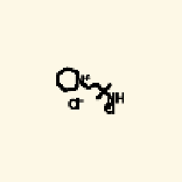 CC(C)(CC[N+]1(C)CCCCCC1)NCl.[Cl-]